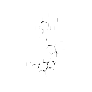 C[C@H](NP(=O)(O)OC[C@H]1O[C@@H](n2cnc3c(O)nc(N)nc32)[C@](C)(F)[C@@H]1O)C(=O)O